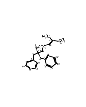 CC(CNCC(N)(Cc1ccccc1)Cc1ccccc1)[N+](=O)[O-]